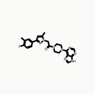 Cc1cc(-c2cc(C)n(CC(=O)N3CCN(c4ncnc5[nH]cnc45)CC3)n2)ccc1F